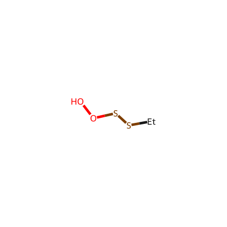 CCSSOO